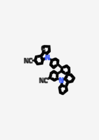 N#Cc1ccc(-c2ccccc2-c2ccc(-n3c4ccccc4c4cc(C#N)ccc43)cc2)c(-n2c3ccccc3c3ccccc32)c1